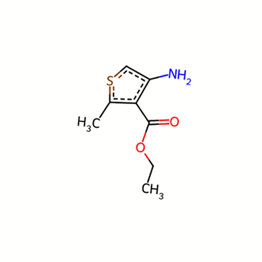 CCOC(=O)c1c(N)csc1C